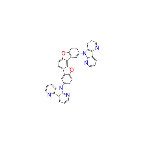 C1=Nc2c(n(-c3ccc4oc5ccc6c7cc(-n8c9cccnc9c9cccnc98)ccc7oc6c5c4c3)c3ncccc23)CC1